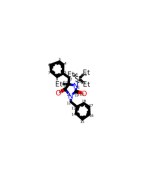 CCC1(Cc2ccccc2)C(=O)N(Cc2ccccc2)C(=O)N1[Si](CC)(CC)CC